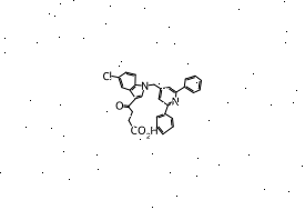 O=C(O)CCC(=O)c1cn(Cc2cc(-c3ccccc3)nc(-c3ccccc3)c2)c2ccc(Cl)cc12